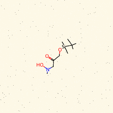 CN(O)CC(=O)CO[Si](C)(C)C(C)(C)C